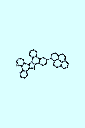 c1cc2ccc3ccc(-c4ccc5c(c4)c4ccccc4n4c5nc5c6cccnc6c6ncccc6c54)c4ccc(c1)c2c34